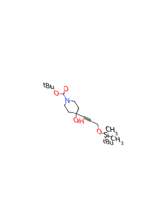 CC(C)(C)OC(=O)N1CCC(O)(C#CCO[Si](C)(C)C(C)(C)C)CC1